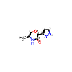 C=C1COC(C2=CCN=N2)C(=O)N1